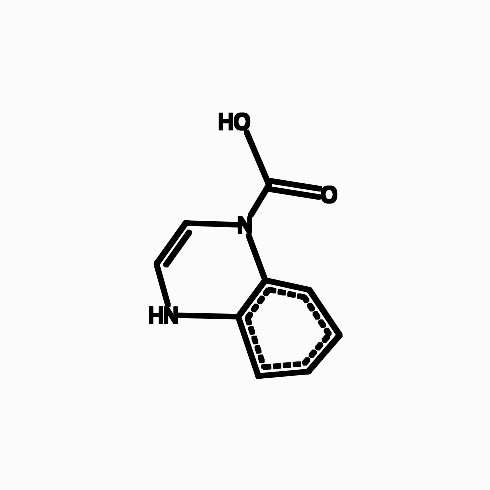 O=C(O)N1C=CNc2ccccc21